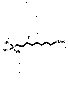 CCCCCCCCCCCCCCCCCC[P+](CCCC)(CCCC)CCCC.[I-]